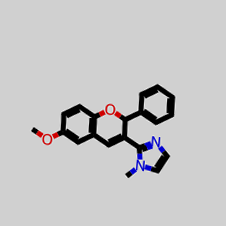 COc1ccc2c(c1)C=C(c1nccn1C)C(c1ccccc1)O2